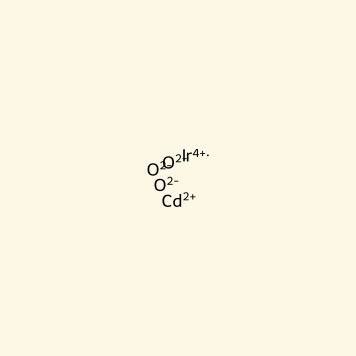 [Cd+2].[Ir+4].[O-2].[O-2].[O-2]